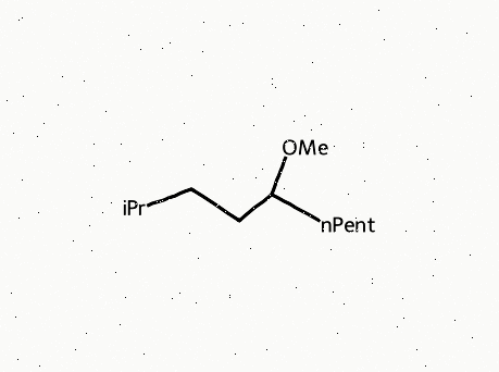 CCCCCC(CCC(C)C)OC